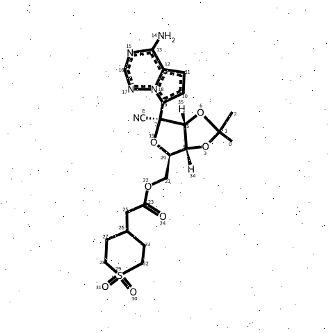 CC1(C)O[C@H]2[C@@H](O1)[C@](C#N)(c1ccc3c(N)ncnn13)O[C@@H]2COC(=O)CC1CCS(=O)(=O)CC1